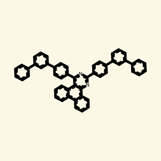 c1ccc(-c2cccc(-c3ccc(-c4nc(-c5ccc(-c6cccc(-c7ccccc7)c6)cc5)c5c6ccccc6c6ccccc6c5n4)cc3)c2)cc1